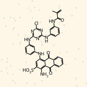 C=C(C)C(=O)Nc1cccc(Nc2nc(Cl)nc(Nc3cccc(Nc4cc(S(=O)(=O)O)c(N)c5c4C(=O)c4ccccc4C5=O)c3)n2)c1